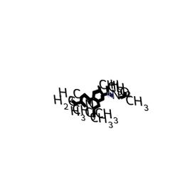 C=C/C(=C\NCC(C)=O)c1cc2c(cc1CC)C1=CC(=C)C(C(=C)C)=CN1C(C(C)(C)C)C2